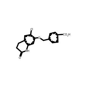 O=C1CCc2cc(Cl)c(OCc3ccc(C(=O)O)cc3)cc2N1